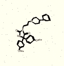 COc1ccc(C2(c3ccc(OC)cc3)NC(=O)N(CCCN3CCC(c4ccccc4)CC3)C2=O)cc1